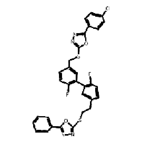 Fc1ccc(CCSc2nnc(-c3ccccc3)o2)cc1-c1cc(CSc2nnc(-c3ccc(Cl)cc3)o2)ccc1F